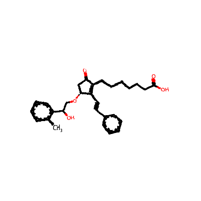 Cc1ccccc1C(O)CO[C@H]1CC(=O)C(CCCCCCC(=O)O)=C1C=Cc1ccccc1